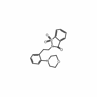 O=C1c2ccccc2S(=O)(=O)N1CCc1ccccc1N1CCOCC1